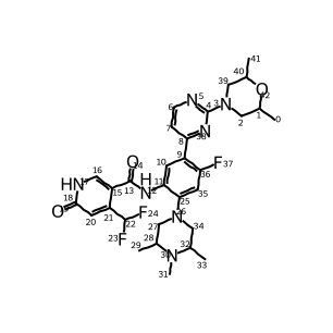 CC1CN(c2nccc(-c3cc(NC(=O)c4c[nH]c(=O)cc4C(F)F)c(N4CC(C)N(C)C(C)C4)cc3F)n2)CC(C)O1